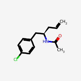 C=CC[C@H](Cc1ccc(Cl)cc1)NC(C)=O